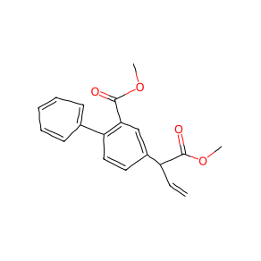 C=CC(C(=O)OC)c1ccc(-c2ccccc2)c(C(=O)OC)c1